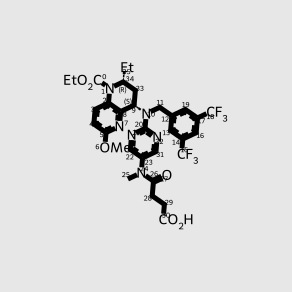 CCOC(=O)N1c2ccc(OC)nc2[C@@H](N(Cc2cc(C(F)(F)F)cc(C(F)(F)F)c2)c2ncc(N(C)C(=O)CCC(=O)O)cn2)C[C@H]1CC